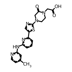 Cc1ccnc(Nc2cccc(-c3cnc(N4CCN(CC(=O)O)C(=O)C4)s3)n2)c1